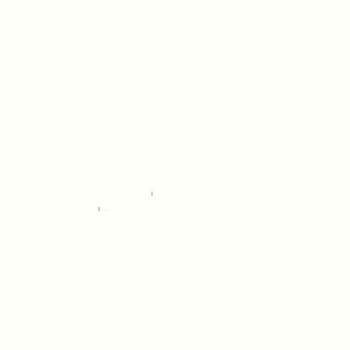 C=CC(=O)OCCC[SiH](CC(C)CC)OCC